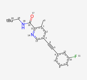 Cc1cc(C#Cc2cccc(F)c2)cnc1C(=O)NCC(C)(C)C